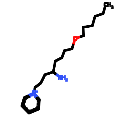 CCCCCCOCCCCC(N)CCC[n+]1ccccc1